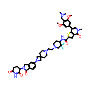 COc1cc(-c2cn(C)c(=O)c3cc(C(=O)NC4CCN(CCN5CCC6(CC5)CN(c5ccc7c(c5)CN(C5CCC(=O)NC5=O)C7=O)C6)CC4(F)F)sc23)cc(OC)c1CN(C)C